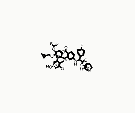 O=C([O-])c1ccc(NC(C(=O)O[C@H]2CN3CCC2CC3)c2ccc(F)cc2)cc1[C@@H](Cc1c(Cl)c[n+](O)cc1Cl)c1ccc(OC(F)F)c(OCC2CC2)c1